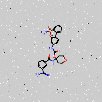 N=C(N)c1cccc(C(=O)NC2(OC(=O)Nc3ccc(-c4ccccc4S(N)(=O)=O)cc3)CCOCC2)c1